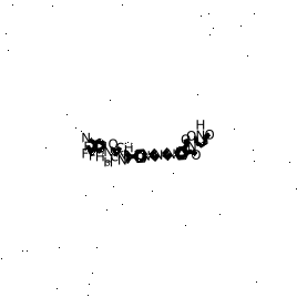 CC(C)(C(=O)Nc1ccc(C#N)c(C(F)(F)F)c1)n1cc(C2CCN(C3CN(C4CN(c5ccc6c(c5)C(=O)N(C5CCC(=O)NC5=O)C6=O)C4)C3)CC2)cn1